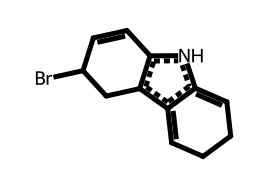 BrC1C=Cc2[nH]c3c(c2C1)=CCCC=3